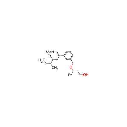 C\C=C(C)/C(=C/C(=C\NC)c1cccc(COC(CC)CCO)c1)CC